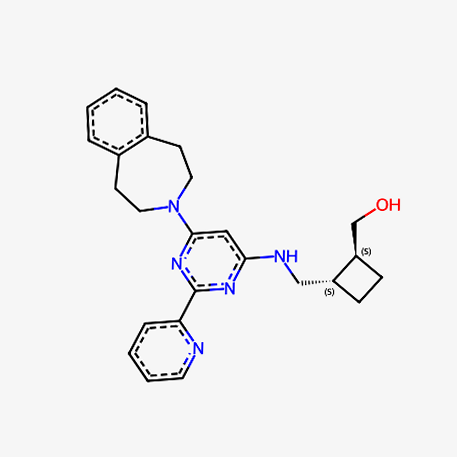 OC[C@H]1CC[C@@H]1CNc1cc(N2CCc3ccccc3CC2)nc(-c2ccccn2)n1